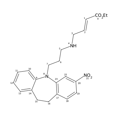 CCOC(=O)/C=C/CNCCCN1c2ccccc2CCc2ccc([N+](=O)[O-])cc21